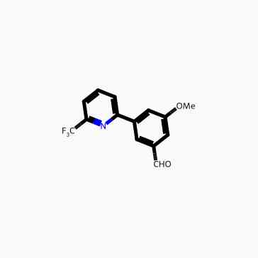 COc1cc(C=O)cc(-c2cccc(C(F)(F)F)n2)c1